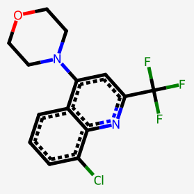 FC(F)(F)c1cc(N2CCOCC2)c2cccc(Cl)c2n1